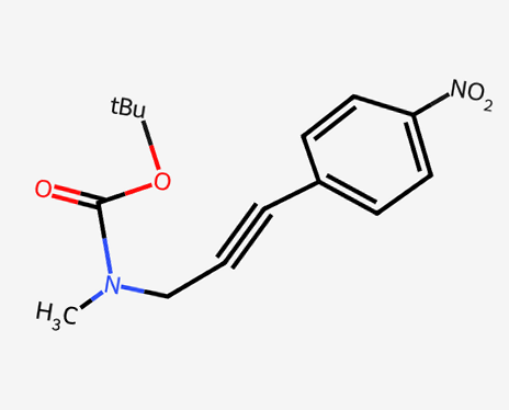 CN(CC#Cc1ccc([N+](=O)[O-])cc1)C(=O)OC(C)(C)C